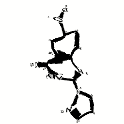 CCOc1ccc2nc(-n3cccn3)[nH]c(=O)c2c1